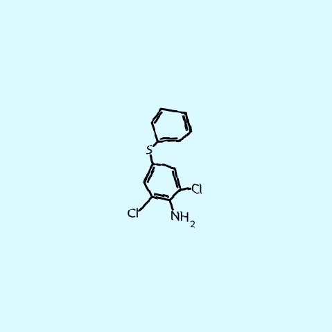 Nc1c(Cl)cc(Sc2ccccc2)cc1Cl